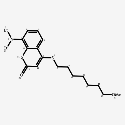 CCN(CC)c1cccc2c(SCCCCCCCOC)cc(=O)sc12